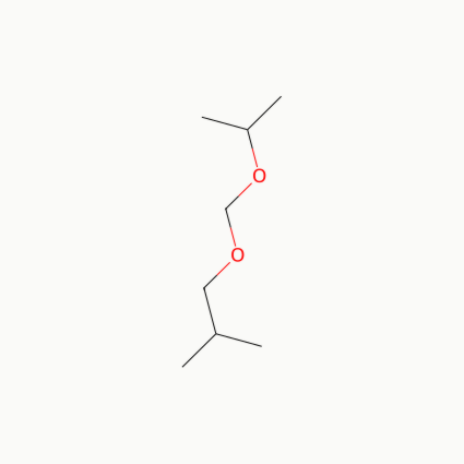 CC(C)COCOC(C)C